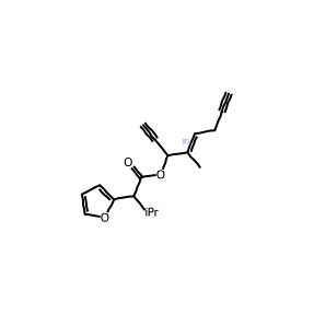 C#CC/C=C(\C)C(C#C)OC(=O)C(c1ccco1)C(C)C